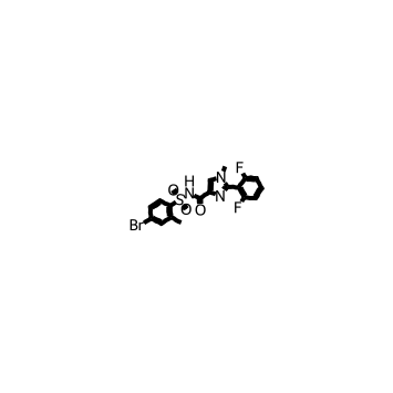 Cc1cc(Br)ccc1S(=O)(=O)NC(=O)c1cn(C)c(-c2c(F)cccc2F)n1